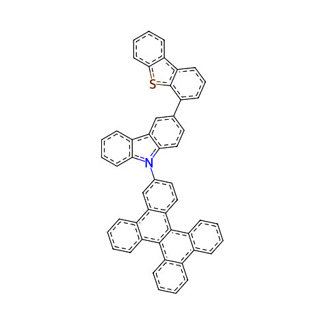 c1ccc2c(c1)sc1c(-c3ccc4c(c3)c3ccccc3n4-c3ccc4c(c3)c3ccccc3c3c5ccccc5c5ccccc5c43)cccc12